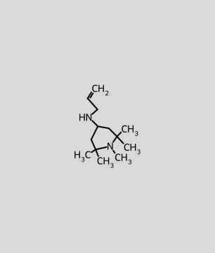 C=CCNC1CC(C)(C)N(C)C(C)(C)C1